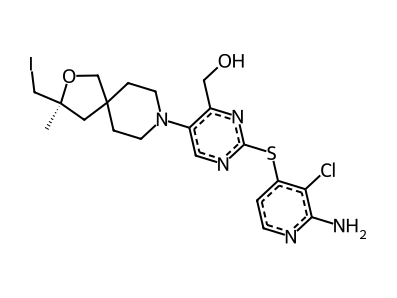 C[C@@]1(CI)CC2(CCN(c3cnc(Sc4ccnc(N)c4Cl)nc3CO)CC2)CO1